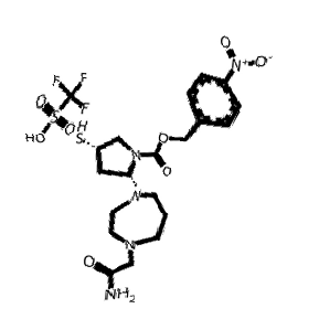 NC(=O)CN1CCCN([C@@H]2C[C@H](S)CN2C(=O)OCc2ccc([N+](=O)[O-])cc2)CC1.O=S(=O)(O)C(F)(F)F